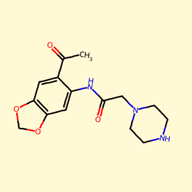 CC(=O)c1cc2c(cc1NC(=O)CN1CCNCC1)OCO2